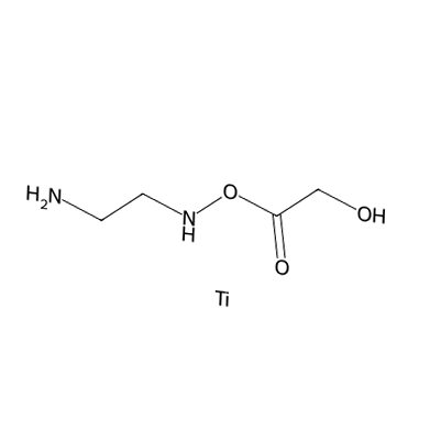 NCCNOC(=O)CO.[Ti]